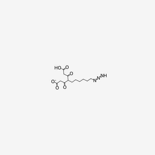 N=[N+]=NCCCCCCC(C(=O)CC(=O)[O-])C(=O)CC(=O)O